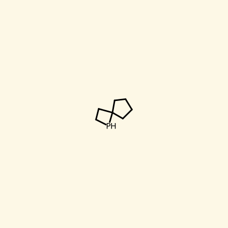 C1CCC2(C1)CCP2